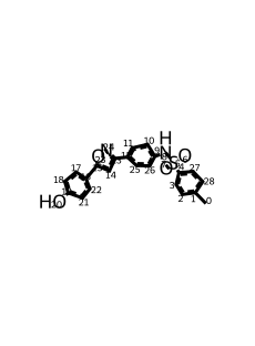 Cc1ccc(S(=O)(=O)Nc2ccc(-c3cc(-c4ccc(O)cc4)on3)cc2)cc1